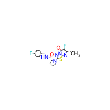 CCc1nc2sc(N3CCC[C@@H]3C(=O)NCc3ccc(F)cc3)nn2c(=O)c1F